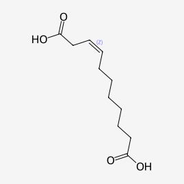 O=C(O)C/C=C\CCCCCCC(=O)O